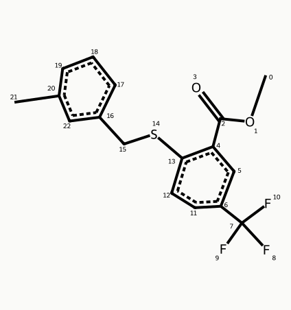 COC(=O)c1cc(C(F)(F)F)ccc1SCc1cccc(C)c1